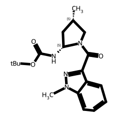 C[C@H]1C[C@@H](NC(=O)OC(C)(C)C)N(C(=O)c2nn(C)c3ccccc23)C1